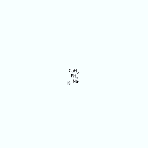 P.[CaH2].[K].[Na]